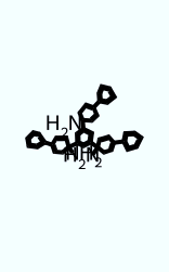 NC1(c2cc(C3(N)C=CC(c4ccccc4)=CC3)cc(C3(N)C=CC(c4ccccc4)=CC3)c2)C=CC(c2ccccc2)=CC1